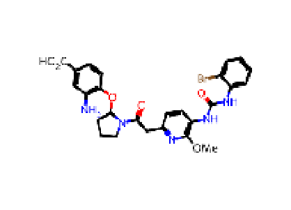 COc1nc(CC(=O)N2CCC[C@H]2Oc2ccc(C(=O)O)cc2N)ccc1NC(=O)Nc1ccccc1Br